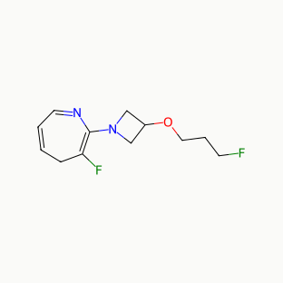 FCCCOC1CN(C2=C(F)CC=CC=N2)C1